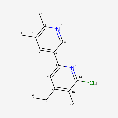 CCc1cc(-c2cnc(C)c(C)c2)nc(Cl)c1C